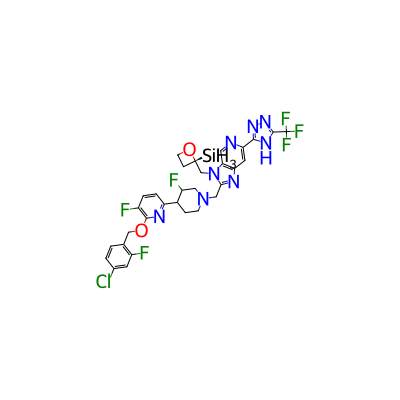 Fc1cc(Cl)ccc1COc1nc(C2CCN(Cc3nc4cc(-c5nnc(C(F)(F)F)[nH]5)ncc4n3C[C@]3([SiH3])CCO3)CC2F)ccc1F